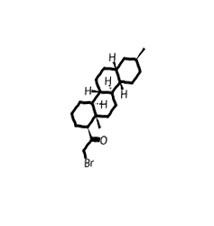 C[C@H]1CC[C@H]2[C@H](CC[C@@H]3[C@@H]2CC[C@]2(C)[C@@H](C(=O)CBr)CCC[C@@H]32)C1